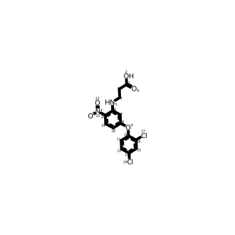 O=C(O)CCNc1cc(Oc2ccc(Cl)cc2Cl)ccc1[N+](=O)[O-]